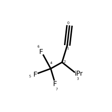 C#CC(C(C)C)C(F)(F)F